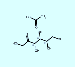 CC(=O)O.O=C(CO)[C@@H](O)[C@H](O)[C@H](O)CO